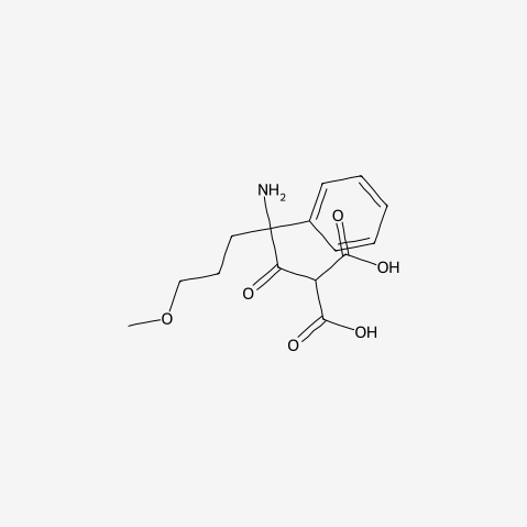 COCCCC(N)(C(=O)C(C(=O)O)C(=O)O)c1ccccc1